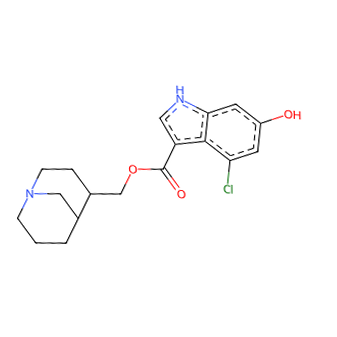 O=C(OCC1CCN2CCCC1C2)c1c[nH]c2cc(O)cc(Cl)c12